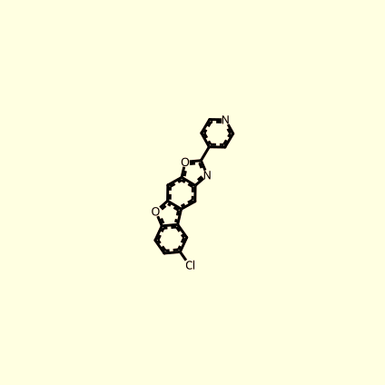 Clc1ccc2oc3cc4oc(-c5ccncc5)nc4cc3c2c1